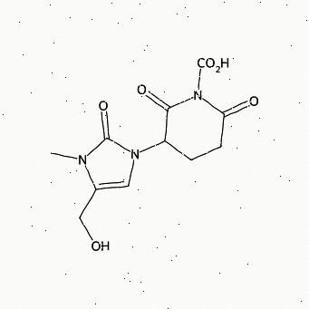 Cn1c(CO)cn(C2CCC(=O)N(C(=O)O)C2=O)c1=O